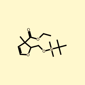 CCOC(=O)C1(C)C=COC1CO[Si](C)(C)C(C)(C)C